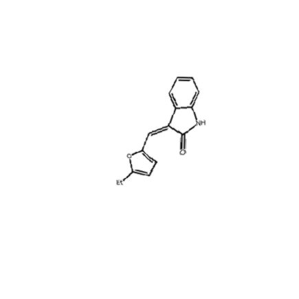 CCc1ccc(/C=C2\C(=O)Nc3ccccc32)o1